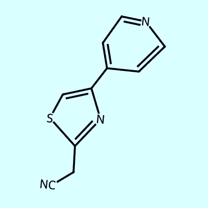 N#CCc1nc(-c2ccncc2)cs1